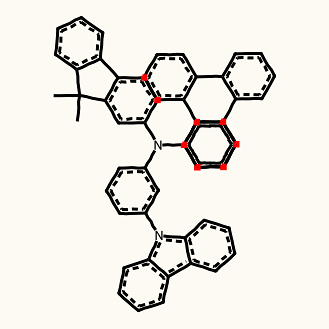 CC1(C)c2ccccc2-c2ccc(N(c3cccc(-n4c5ccccc5c5ccccc54)c3)c3ccccc3-c3ccccc3-c3ccccc3-c3ccccc3)cc21